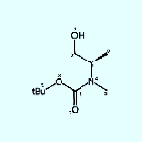 C[C@H](CO)N(C)C(=O)OC(C)(C)C